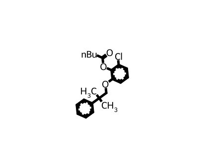 CCCCC(=O)Oc1c(Cl)cccc1OCC(C)(C)c1ccccc1